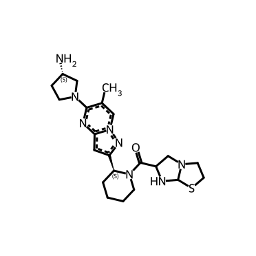 Cc1cn2nc([C@@H]3CCCCN3C(=O)C3CN4CCSC4N3)cc2nc1N1CC[C@H](N)C1